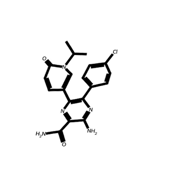 CC(C)n1cc(-c2nc(C(N)=O)c(N)nc2-c2ccc(Cl)cc2)ccc1=O